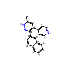 Cc1cc(-c2ccncc2)c(-c2ccc3ccccc3c2)nn1